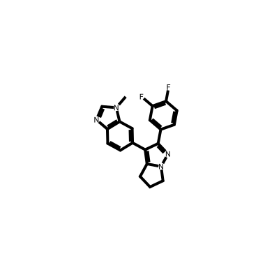 Cn1cnc2ccc(-c3c(-c4ccc(F)c(F)c4)nn4c3CCC4)cc21